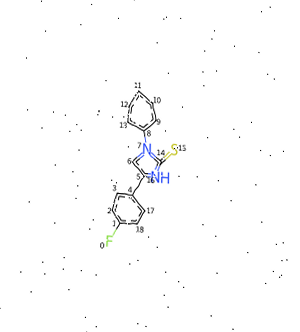 Fc1ccc(-c2cn(-c3ccccc3)c(=S)[nH]2)cc1